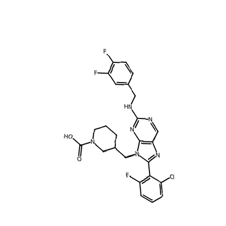 O=C(O)N1CCCC(Cn2c(-c3c(F)cccc3Cl)nc3cnc(NCc4ccc(F)c(F)c4)nc32)C1